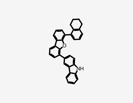 c1cc2c(c(-c3cccc4c3oc3c(-c5ccc6[nH]c7ccccc7c6c5)cccc34)c1)CCCC2